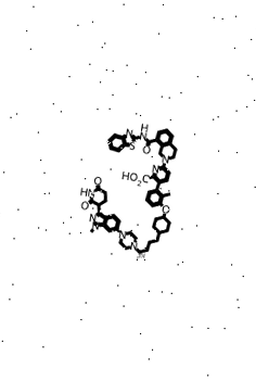 Cc1c(OC2CCC(CCC[C@H](C)N3CCN(c4ccc5c(C6CCC(=O)NC6=O)nn(C)c5c4)CC3)CC2)cccc1-c1ccc(N2CCc3cccc(C(=O)Nc4nc5ccccc5s4)c3C2)nc1C(=O)O